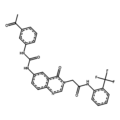 CC(=O)c1cccc(NC(=O)Nc2ccc3ncn(CC(=O)Nc4ccccc4C(F)(F)F)c(=O)c3c2)c1